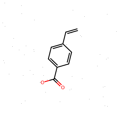 C=Cc1ccc(C([O])=O)cc1